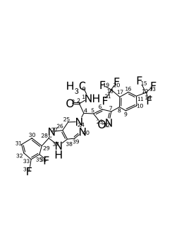 CNC(=O)C(c1cc(-c2ccc(C(F)(F)F)cc2C(F)(F)F)no1)N1Cc2nc(-c3cccc(F)c3F)[nH]c2C=N1